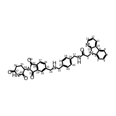 O=C(Cn1c2ccccc2c2cccnc21)NCc1ccc(CNCc2ccc3c(c2)C(=O)N(C2CCC(=O)NC2=O)C3=O)cc1